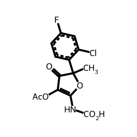 CC(=O)OC1=C(NC(=O)O)OC(C)(c2ccc(F)cc2Cl)C1=O